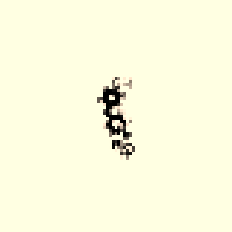 O=[SH](=O)CN1CCC(Cc2ccc(O)cc2)CC1